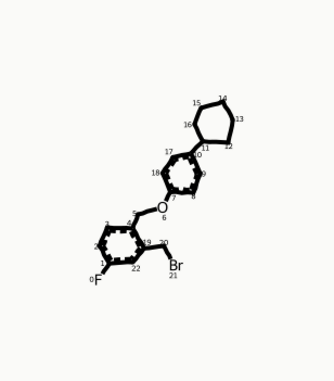 Fc1ccc(COc2ccc(C3CCCCC3)cc2)c(CBr)c1